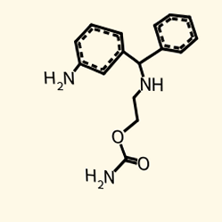 NC(=O)OCCNC(c1ccccc1)c1cccc(N)c1